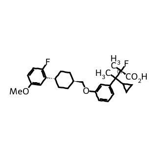 COc1ccc(F)c([C@H]2CC[C@H](COc3cccc(C(C)(C4CC4)[C@](C)(F)C(=O)O)c3)CC2)c1